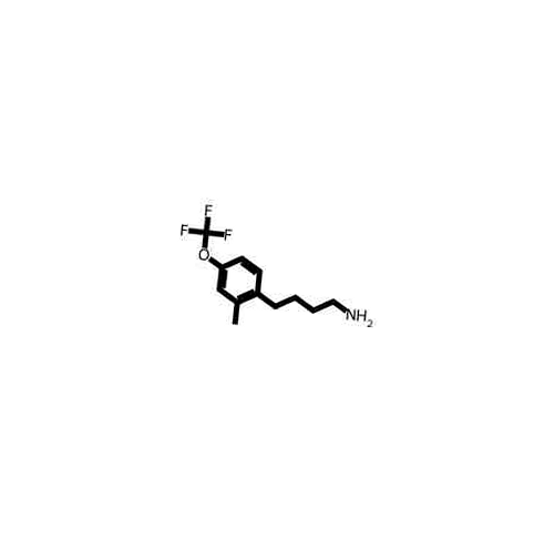 Cc1cc(OC(F)(F)F)ccc1CCCCN